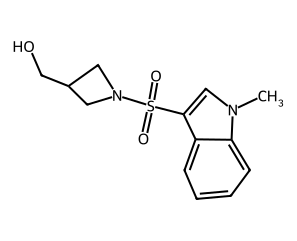 Cn1cc(S(=O)(=O)N2CC(CO)C2)c2ccccc21